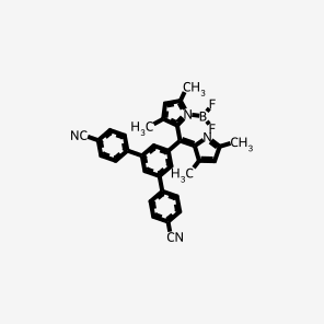 CC1=CC(C)=N/C1=C(/c1cc(-c2ccc(C#N)cc2)cc(-c2ccc(C#N)cc2)c1)c1c(C)cc(C)n1B(F)F